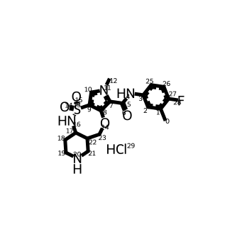 Cc1cc(NC(=O)c2c3c(cn2C)S(=O)(=O)NC2CCNCC2CO3)ccc1F.Cl